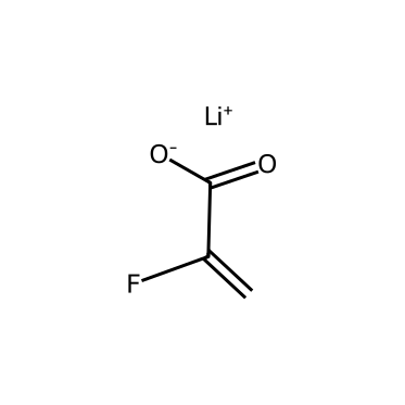 C=C(F)C(=O)[O-].[Li+]